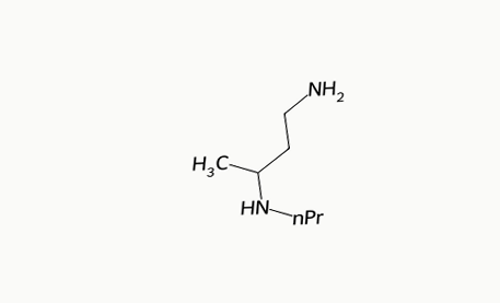 CCCNC(C)CCN